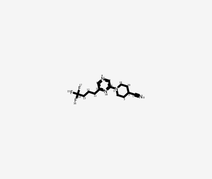 N#CC1CCN(c2cncc(CCCC(F)(F)F)n2)CC1